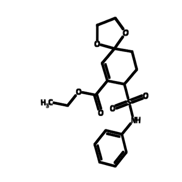 CCOC(=O)C1=CC2(CCC1S(=O)(=O)Nc1ccccc1)OCCO2